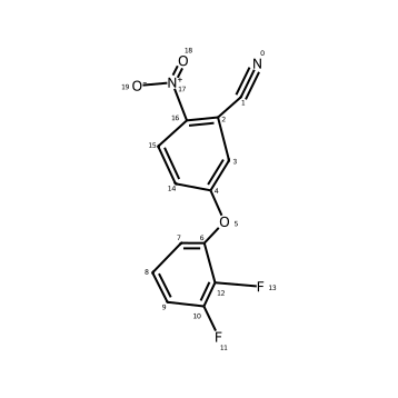 N#Cc1cc(Oc2cccc(F)c2F)ccc1[N+](=O)[O-]